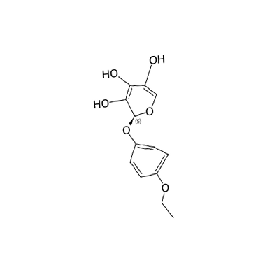 CCOc1ccc(O[C@@H]2OC=C(O)C(O)=C2O)cc1